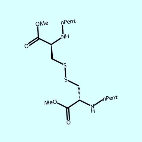 CCCCCN[C@@H](CSSC[C@H](NCCCCC)C(=O)OC)C(=O)OC